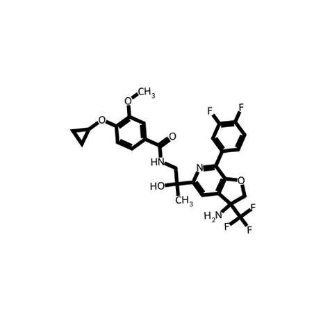 COc1cc(C(=O)NCC(C)(O)c2cc3c(c(-c4ccc(F)c(F)c4)n2)OCC3(N)C(F)(F)F)ccc1OC1CC1